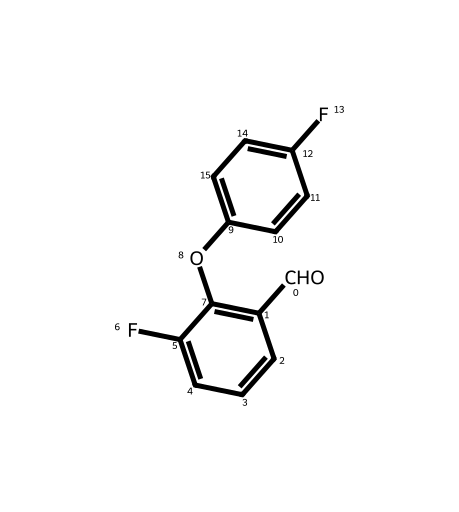 O=Cc1cccc(F)c1Oc1ccc(F)cc1